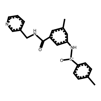 Cc1ccc([S+]([O-])Nc2cc(C)cc(C(=O)NCc3cccnc3)c2)cc1